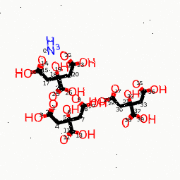 N.O=C(O)CC(O)(CC(=O)O)C(=O)O.O=C(O)CC(O)(CC(=O)O)C(=O)O.O=C(O)CC(O)(CC(=O)O)C(=O)O